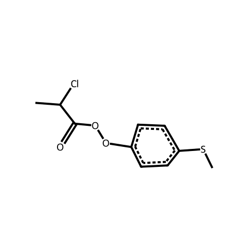 CSc1ccc(OOC(=O)C(C)Cl)cc1